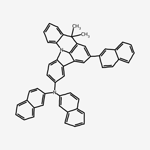 CC1(C)c2ccccc2-n2c3ccc(N(c4ccc5ccccc5c4)c4ccc5ccccc5c4)cc3c3cc(-c4ccc5ccccc5c4)cc1c32